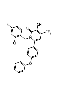 N#Cc1c(C(F)(F)F)cc(-c2ccc(Oc3ccccc3)cc2)n(Cc2ccc(F)cc2Cl)c1=O